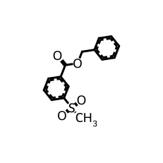 CS(=O)(=O)c1cccc(C(=O)OCc2ccccc2)c1